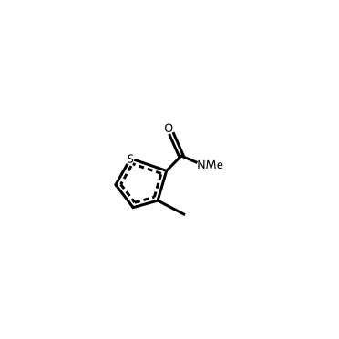 CNC(=O)c1sccc1C